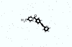 CC1CCN(C(=O)c2ccc(C#Cc3ccccn3)cc2)CC1